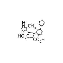 Cc1[nH]cnc1CCC(/C(=C\C(=O)O)C(=O)O)c1cccc(-c2ccccc2)c1